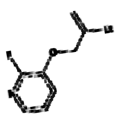 C=C(CC)COc1cccnc1F